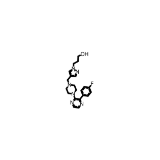 OCCCn1cc(CN2CCN(c3nccnc3-c3ccc(F)cc3)CC2)cn1